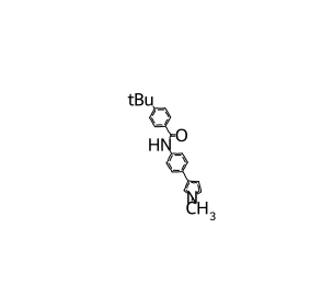 Cn1ccc(-c2ccc(NC(=O)c3ccc(C(C)(C)C)cc3)cc2)c1